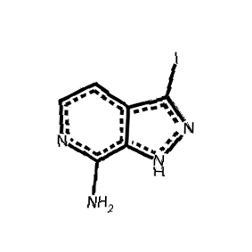 Nc1nccc2c(I)n[nH]c12